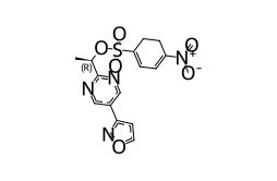 C[C@@H](OS(=O)(=O)C1=CC=C([N+](=O)[O-])CC1)c1ncc(-c2ccon2)cn1